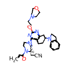 C=CC(=O)N1CCN(c2nc(OCCN3CCOCC3)nc3c2CCC(N2CCc4ccccc42)C3)C[C@@H]1CC#N